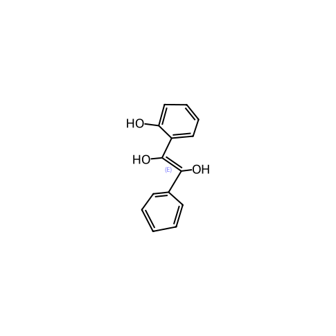 O/C(=C(/O)c1ccccc1O)c1ccccc1